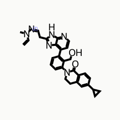 C=CN(C)/N=C\Cc1nc2c(-c3cccc(N4CCc5cc(C6CC6)ccc5C4=O)c3CO)ccnc2[nH]1